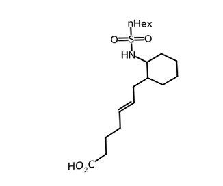 CCCCCCS(=O)(=O)NC1CCCCC1CC=CCCCC(=O)O